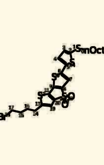 CCCCCCCCSc1ccc(-c2cc3c(s2)-c2sc(CCCCBr)cc2S3(=O)=O)s1